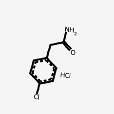 Cl.NC(=O)Cc1ccc(Cl)cc1